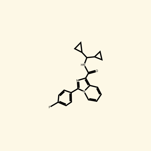 O=C(NC(C1CC1)C1CC1)c1nc(-c2ccc(F)cc2)n2ccccc12